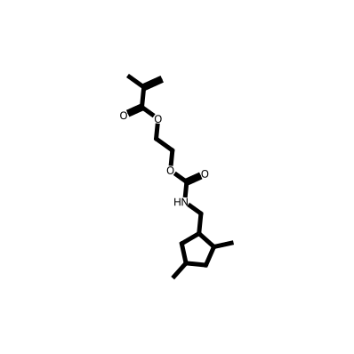 C=C(C)C(=O)OCCOC(=O)NCC1CC(C)CC1C